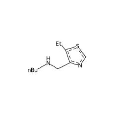 CCCCNCc1ncsc1CC